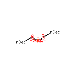 CCCCCCCCCCCCCCCCCC(=O)OCC(O)COP(=O)(O)OCC(O)COC(=O)CCCCCCCCCCCCCCCCC